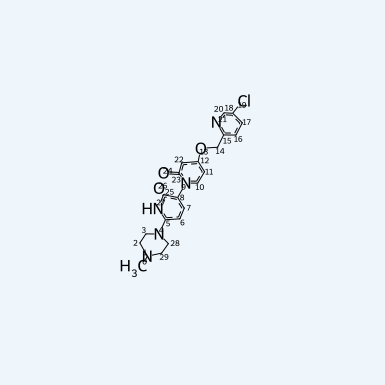 CN1CCN(c2ccc(-n3ccc(OCc4ccc(Cl)cn4)cc3=O)c(=O)[nH]2)CC1